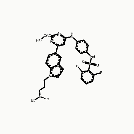 CCN(CC)CCCn1ccc2cc(-c3cc(Nc4ccc(NS(=O)(=O)c5c(F)cccc5F)cc4)ncn3)ccc21.O=CO